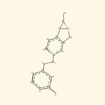 Cc1cccc(COc2cc3c(cn2)C2C(C)C2C3)c1